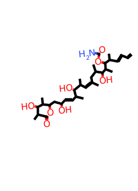 C=CC=CC(C)C(OC(N)=O)C(C)C(O)C(C)CC(C)=CC(C)C(O)C(C)C=CC(O)CC1OC(=O)C(C)C(O)C1C